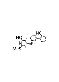 CCCc1nc(SC)nc(O)c1Cc1ccc(-c2ccccc2C#N)cc1